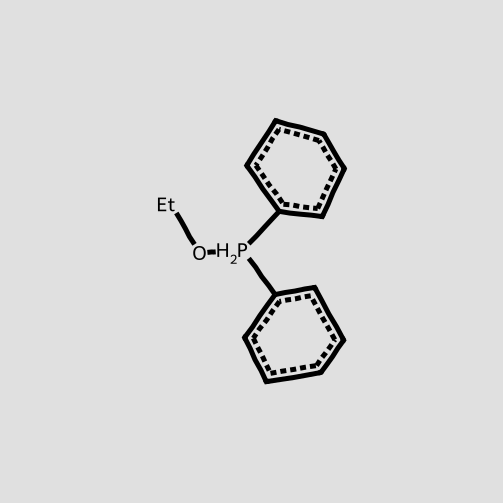 CCO[PH2](c1ccccc1)c1ccccc1